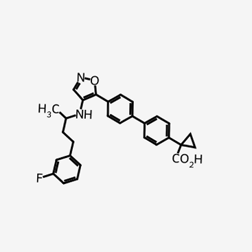 CC(CCc1cccc(F)c1)Nc1cnoc1-c1ccc(-c2ccc(C3(C(=O)O)CC3)cc2)cc1